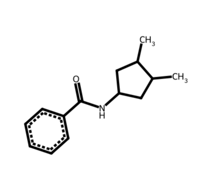 CC1CC(NC(=O)c2ccccc2)CC1C